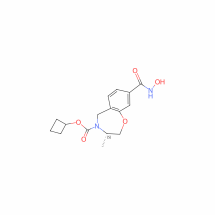 C[C@H]1COc2cc(C(=O)NO)ccc2CN1C(=O)OC1CCC1